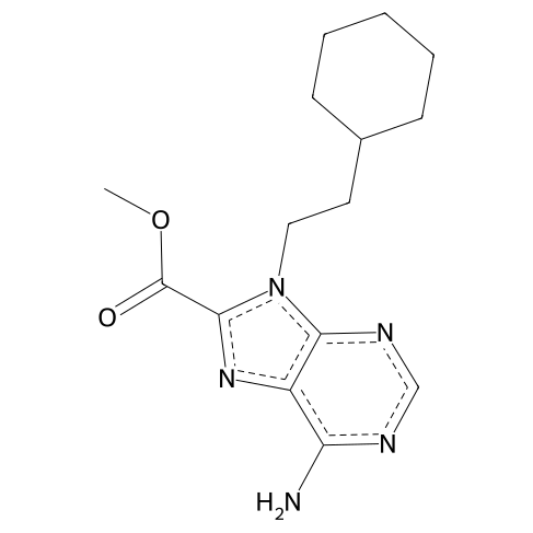 COC(=O)c1nc2c(N)ncnc2n1CCC1CCCCC1